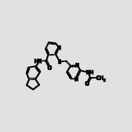 CC(=O)Nc1nccc(CSc2ncccc2C(=O)Nc2ccc3c(c2)CCC3)n1